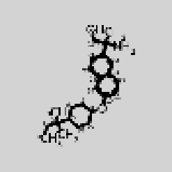 CCC(C)(C)C1CCC(Oc2ccc3cc(C(C)(N)CO)ccc3c2)CC1